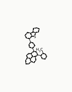 Cc1ccccc1-c1cc(-c2ccc(-c3cccc4c3sc3ccccc34)cc2)c2ccc3cccc4ccc1c2c34